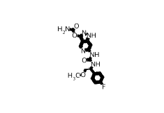 COC[C@@H](NC(=O)Nc1cc2[nH]nc(OC(N)=O)c2cn1)c1ccc(F)cc1